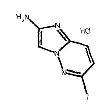 Cl.Nc1cn2nc(I)ccc2n1